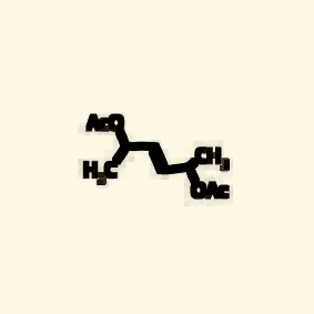 CC(=O)OC(C)C=CC(C)OC(C)=O